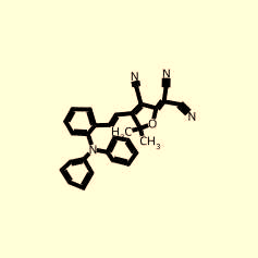 CC1(C)OC(=C(C#N)C#N)C(C#N)=C1C=Cc1ccccc1N(c1ccccc1)c1ccccc1